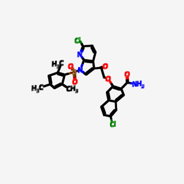 Cc1cc(C)c(S(=O)(=O)n2cc(C(=O)COc3cc4ccc(Cl)cc4cc3C(N)=O)c3ccc(Cl)nc32)c(C)c1